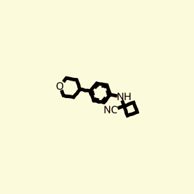 N#CC1(Nc2ccc(C3CCOCC3)cc2)CCC1